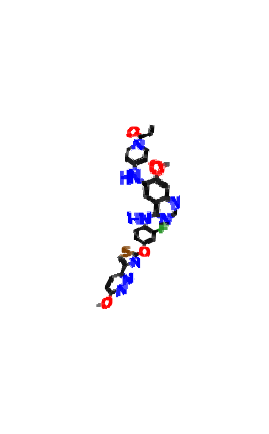 C=CC(=O)N1CCC(Nc2cc3c(Nc4ccc(Oc5nc(-c6ccc(OC)nn6)cs5)cc4F)ncnc3cc2OC)CC1